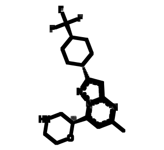 Cc1cc([C@@H]2CNCCO2)n2nc([C@H]3CC[C@H](C(F)(F)F)CC3)cc2n1